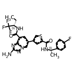 CC[C@H](NC(=O)c1cc(-c2csc(C(=O)N[C@@H](C)c3ccc(F)cc3)c2)cn2nc(N)nc12)C(F)(F)F